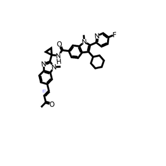 CC(=O)/C=C/c1ccc2nc(C3(NC(=O)c4ccc5c(C6CCCCC6)c(-c6ccc(F)cn6)n(C)c5c4)CC3)n(C)c2c1